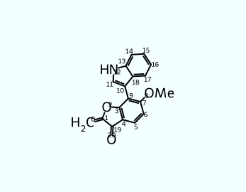 C=C1Oc2c(ccc(OC)c2-c2c[nH]c3ccccc23)C1=O